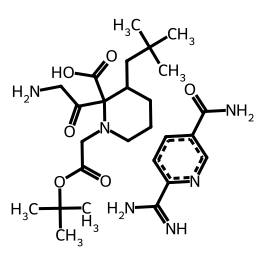 CC(C)(C)CC1CCCN(CC(=O)OC(C)(C)C)C1(C(=O)O)C(=O)CN.N=C(N)c1ccc(C(N)=O)cn1